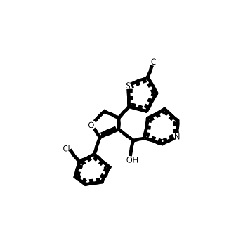 OC(C1=C(c2ccccc2Cl)OCC1c1ccc(Cl)s1)c1cccnc1